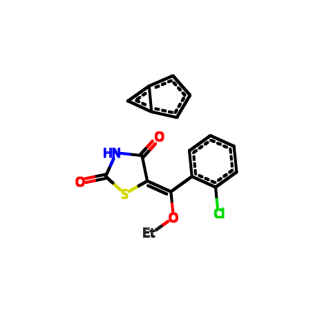 CCOC(=C1SC(=O)NC1=O)c1ccccc1Cl.c1cc2cc-2c1